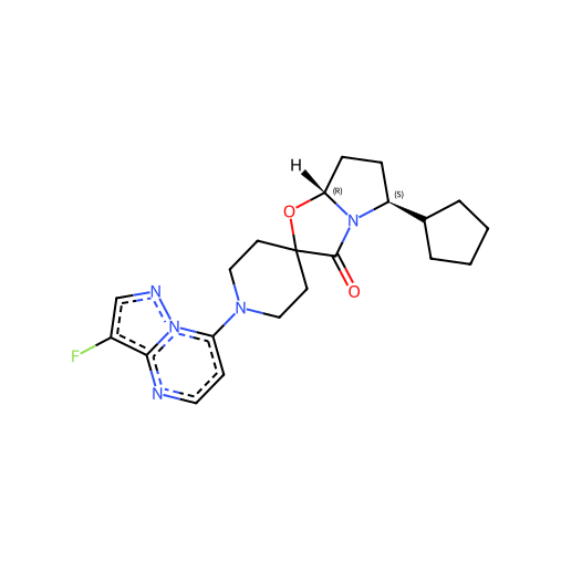 O=C1N2[C@@H](CC[C@H]2C2CCCC2)OC12CCN(c1ccnc3c(F)cnn13)CC2